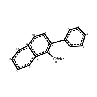 COc1c(-c2ccccc2)ccc2ccccc12